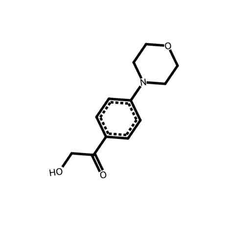 O=C(CO)c1ccc(N2CCOCC2)cc1